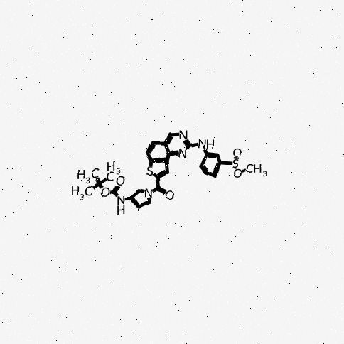 COS(=O)c1cccc(Nc2ncc3ccc4sc(C(=O)N5CCC(NC(=O)OC(C)(C)C)C5)cc4c3n2)c1